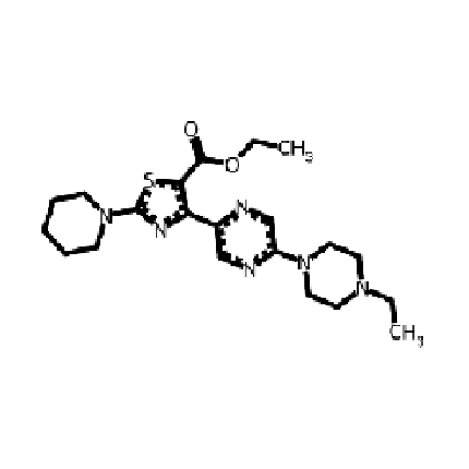 CCOC(=O)c1sc(N2CCCCC2)nc1-c1cnc(N2CCN(CC)CC2)cn1